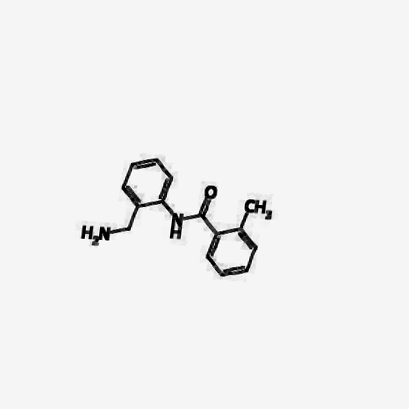 Cc1ccccc1C(=O)Nc1ccccc1CN